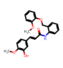 COc1ccc(/C=C/C(=O)Nc2ccccc2COc2ccccc2OC)cc1O